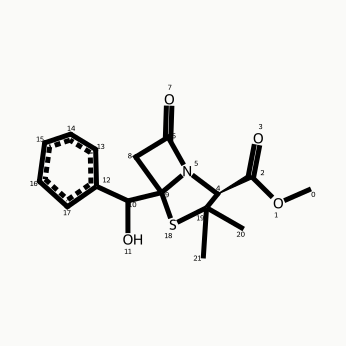 COC(=O)[C@@H]1N2C(=O)CC2(C(O)c2ccccc2)SC1(C)C